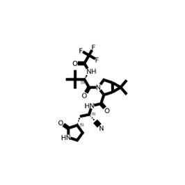 CC1(C)C2CN(C(=O)[C@@H](NC(=O)C(F)(F)F)C(C)(C)C)C(C(=O)N[C@H](C#N)C[C@@H]3CCNC3=O)C21